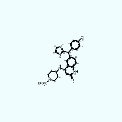 CCOC(=O)N1CCC(Nc2cc(=O)[nH]c3ccc(C(c4ccc(Cl)cc4)c4nccs4)cc23)CC1